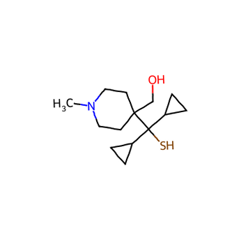 CN1CCC(CO)(C(S)(C2CC2)C2CC2)CC1